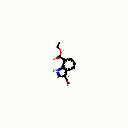 CCOC(=O)c1cccc2c(Br)c[nH]c12